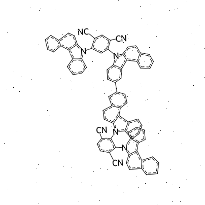 N#Cc1cc(C#N)c(-n2c3ccc(-c4ccc5c(ccc6c5c5ccccc5n6-c5c(C#N)ccc(C#N)c5-n5c6ccccc6c6c7ccccc7ccc65)c4)cc3c3c4ccccc4ccc32)cc1-n1c2ccccc2c2c3ccccc3ccc21